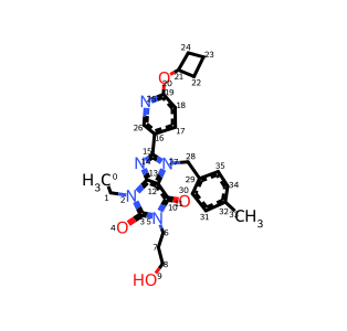 CCn1c(=O)n(CCCO)c(=O)c2c1nc(-c1ccc(OC3CCC3)nc1)n2Cc1ccc(C)cc1